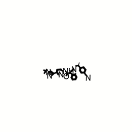 C[C@H](CNCC(C(=O)Nc1ccc(-c2cnn(C(C)(C)C)c2)cn1)c1ccccc1)c1ccc(C#N)cc1